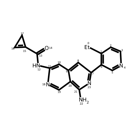 CCc1ccncc1-c1cc2cc(NC(=O)C3=CC3)ncc2c(N)n1